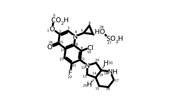 O=C(O)Oc1cn(C2CC2)c2c(Cl)c(N3C[C@@H]4CCCN[C@@H]4C3)c(F)cc2c1=O.O=S(=O)(O)O